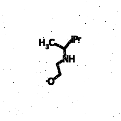 CC(C)C(C)NCC[O]